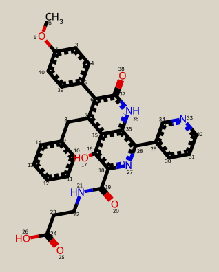 COc1ccc(-c2c(Cc3ccccc3)c3c(O)c(C(=O)NCCC(=O)O)nc(-c4cccnc4)c3[nH]c2=O)cc1